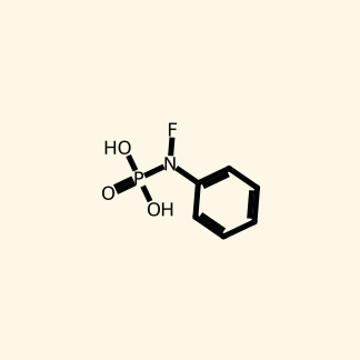 O=P(O)(O)N(F)c1ccccc1